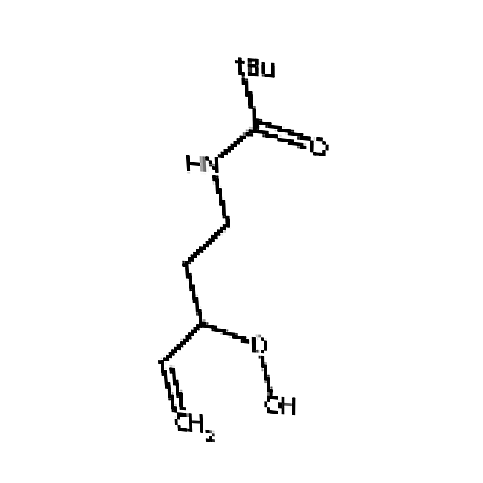 C=CC(CCNC(=O)C(C)(C)C)OO